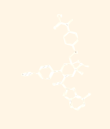 COC1(F)C=C(C(=O)c2cc3cccc(F)c3s2)C(c2ccc(C#N)cc2)=CC1(Cl)CNC1CCC(N(C)C(=O)O)CC1